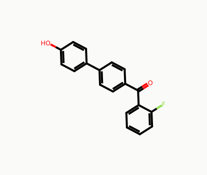 O=C(c1ccc(-c2ccc(O)cc2)cc1)c1ccccc1F